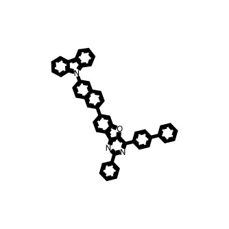 c1ccc(-c2ccc(-c3nc(-c4ccccc4)nc4c3oc3cc(-c5ccc6cc(-n7c8ccccc8c8ccccc87)ccc6c5)ccc34)cc2)cc1